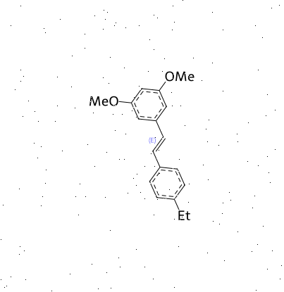 CCc1ccc(/C=C/c2cc(OC)cc(OC)c2)cc1